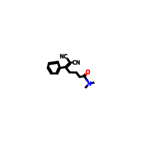 CN(C)C(=O)CCCC(=C(C#N)C#N)c1ccccc1